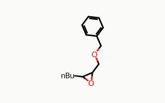 CCCCC1OC1COCc1ccccc1